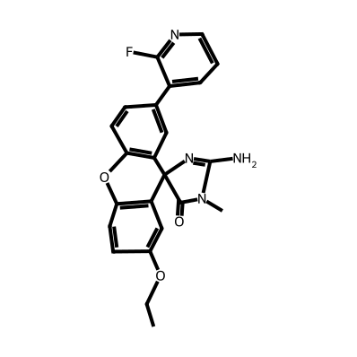 CCOc1ccc2c(c1)C1(N=C(N)N(C)C1=O)c1cc(-c3cccnc3F)ccc1O2